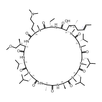 C/C=C/C[C@@H](C)[C@@H](O)[C@H]1C(=O)N[C@@H](CC)C(=O)N(C)[C@H](CCCN(C)C)C(=O)N[C@@H]([C@H](C)COC)C(=O)N[C@@H](C(C)C)C(=O)N(C)[C@@H](CC(C)C)C(=O)N[C@@H](C)C(=O)N[C@H](C)C(=O)N(C)[C@@H](CC(C)C)C(=O)N(C)[C@@H](CC(C)C)C(=O)N(C)[C@@H](C(C)C)C(=O)N1C